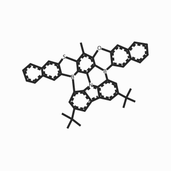 Cc1c2c3c4c5c1Sc1cc6ccccc6cc1B5c1cc(C(C)(C)C)cc5c6cc(C(C)(C)C)cc(c6n-4c15)B3c1cc3ccccc3cc1O2